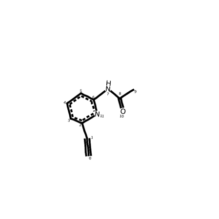 C#Cc1cccc(NC(C)=O)n1